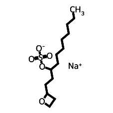 CCCCCCCCC(CCC1CCO1)OS(=O)(=O)[O-].[Na+]